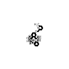 Cc1cccc(COc2ccc3c(c2)=C([N+]([O-])(O)O)N(c2ccccc2)N([N+]([O-])(O)O)C=3[N+]([O-])(O)O)n1